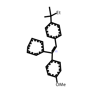 CCC(C)(C)c1ccc(/C=C(\c2ccccc2)c2ccc(OC)cc2)cc1